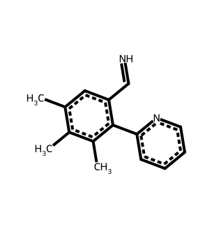 Cc1cc(C=N)c(-c2ccccn2)c(C)c1C